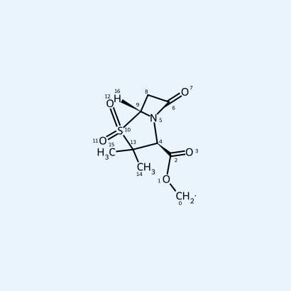 [CH2]OC(=O)[C@@H]1N2C(=O)C[C@H]2S(=O)(=O)C1(C)C